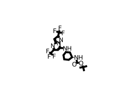 CC(C)(C)OC(=O)N[C@@H]1CCC[C@H](Nc2cc(C(F)(F)F)nc3cc(C(F)(F)F)nn23)C1